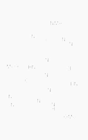 CNCC(=O)N1CCc2cc(OC)c(Nc3ncc(Cl)c(-c4cnn5ccccc45)n3)cc21.COc1cc2c(cc1Nc1ncc(Cl)c(-c3cnn4ccccc34)n1)NCC2